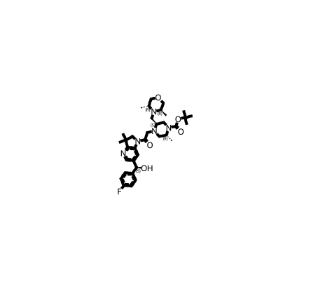 C[C@@H]1CN(CC(=O)N2CC(C)(C)c3ncc([C@@H](O)c4ccc(F)cc4)cc32)[C@@H](CN2[C@H](C)COC[C@H]2C)CN1C(=O)OC(C)(C)C